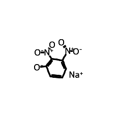 O=[N+]([O-])c1cccc([O-])c1[N+](=O)[O-].[Na+]